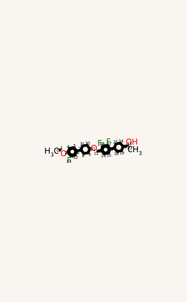 CCOc1ccc(C2CCC(OCc3ccc(C4CCC(C(C)O)CC4)c(F)c3F)CC2)cc1F